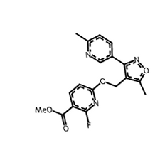 COC(=O)c1ccc(OCc2c(-c3ccc(C)nc3)noc2C)nc1F